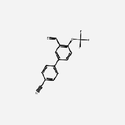 N#Cc1ccc(-c2ccc(OC(F)(F)F)c(C=O)c2)cc1